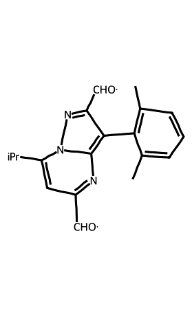 Cc1cccc(C)c1-c1c([C]=O)nn2c(C(C)C)cc([C]=O)nc12